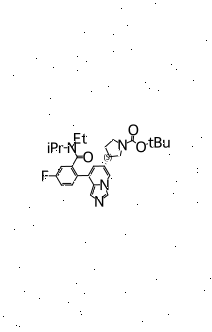 CCN(C(=O)c1cc(F)ccc1-c1cc([C@@H]2CCN(C(=O)OC(C)(C)C)C2)cn2cncc12)C(C)C